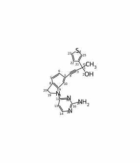 CC(O)(C#Cc1ccc2c(c1)N(c1ccnc(N)n1)CC2)c1ccsc1